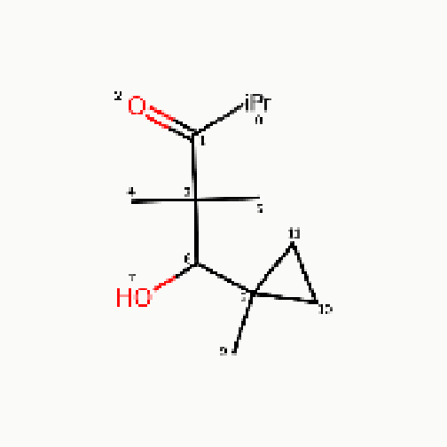 CC(C)C(=O)C(C)(C)C(O)C1(C)CC1